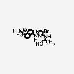 C[C@@H](CO)Nc1nc(Nc2cccc3c(S(N)(=O)=O)cccc23)ncc1Br